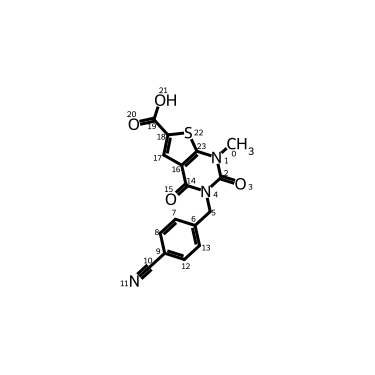 Cn1c(=O)n(Cc2ccc(C#N)cc2)c(=O)c2cc(C(=O)O)sc21